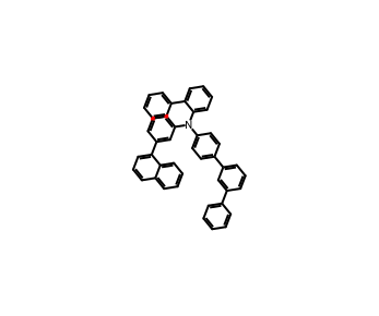 c1ccc(-c2cccc(-c3ccc(N(c4cccc(-c5cccc6ccccc56)c4)c4ccccc4-c4ccccc4)cc3)c2)cc1